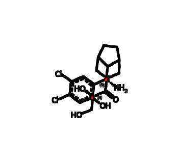 N[C@H](c1cc(Cl)c(Cl)cc1O)C1C2CCC1CN(C(=O)[C@H](O)CO)C2